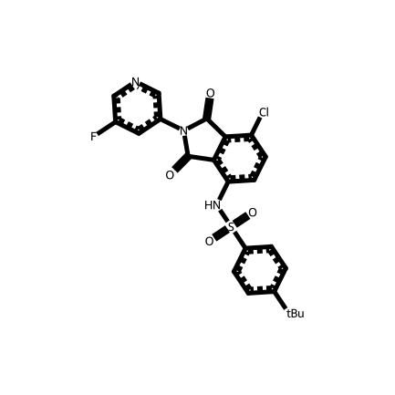 CC(C)(C)c1ccc(S(=O)(=O)Nc2ccc(Cl)c3c2C(=O)N(c2cncc(F)c2)C3=O)cc1